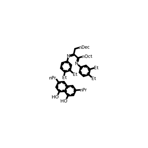 CCCCCCCCCCCC(=Nc1ccc(CC)c(CC)c1)C(CCCCCCCC)=Nc1ccc(CC)c(CC)c1.CCCc1cc(O)c2c(O)cc(CCC)cc2c1